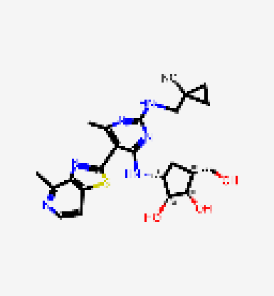 Cc1nc(NCC2(C#N)CC2)nc(N[C@@H]2C[C@H](CO)[C@@H](O)[C@H]2O)c1-c1nc2c(C)nccc2s1